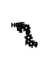 COc1ccc(F)c(C2=CCC(COc3cccc([C@H](C4CC4)[C@@](C)(F)C(=O)O)c3)CC2)c1